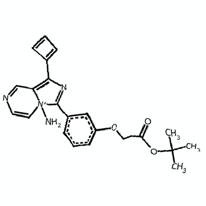 CC(C)(C)OC(=O)COc1cccc(C2=NC(C3=CC=C3)=C3C=NC=C[N+]23N)c1